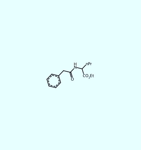 [CH2]CCC(NC(=O)Cc1ccccc1)C(=O)OCC